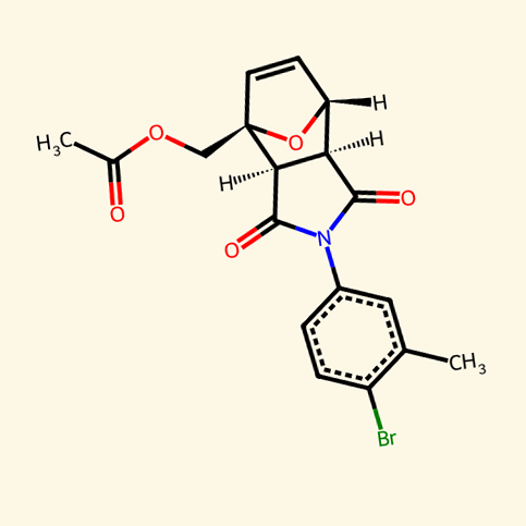 CC(=O)OC[C@@]12C=C[C@@H](O1)[C@H]1C(=O)N(c3ccc(Br)c(C)c3)C(=O)[C@H]12